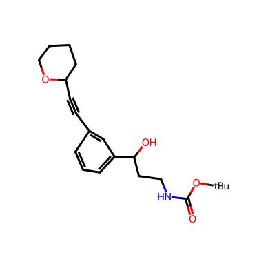 CC(C)(C)OC(=O)NCCC(O)c1cccc(C#CC2CCCCO2)c1